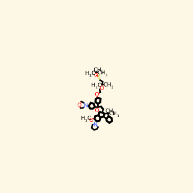 COc1cc2c3c(c4c(c2cc1N1CCCCC1)-c1ccccc1C4(C)C)C=CC(c1ccc(OCCOC(C)(C)CCSOC(C)(C)C)cc1)(c1ccc(N2CCOCC2)cc1)O3